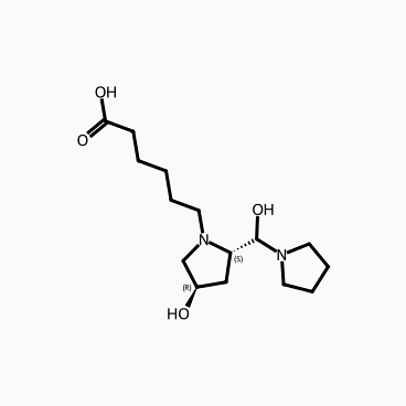 O=C(O)CCCCCN1C[C@H](O)C[C@H]1C(O)N1CCCC1